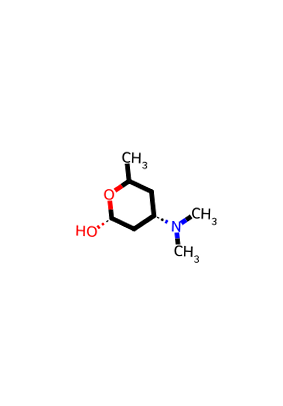 CC1C[C@H](N(C)C)C[C@H](O)O1